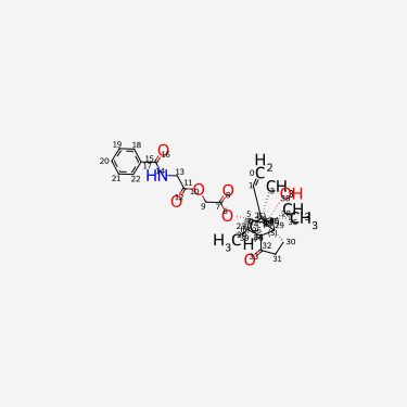 C=C[C@]1(C)C[C@@H](OC(=O)COC(=O)CNC(=O)c2ccccc2)[C@]2(C)CC[C@@H](C)[C@@]3(CCC(=O)[C@@H]23)[C@@H](C)[C@@H]1O